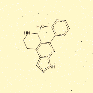 Cc1ccccc1-c1nc2[nH]ncc2c2c1CNCC2